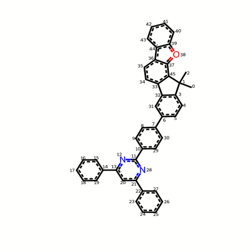 CC1(C)c2ccc(-c3ccc(-c4nc(-c5ccccc5)cc(-c5ccccc5)n4)cc3)cc2-c2ccc3c(oc4ccccc43)c21